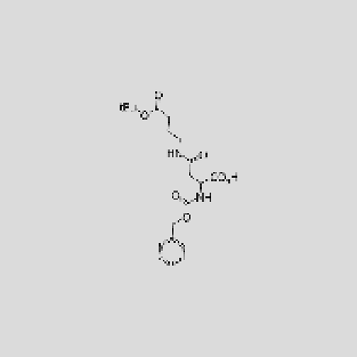 CC(C)(C)OC(=O)CCCNC(=O)CC(NC(=O)OCc1ccccc1)C(=O)O